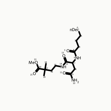 CCCCCCCCCCCCCC(=O)NC(CC(N)=O)C(=O)NCCC(C)(C)C(=O)OC